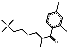 CN(COCC[Si](C)(C)C)C(=O)c1ccc(I)cc1F